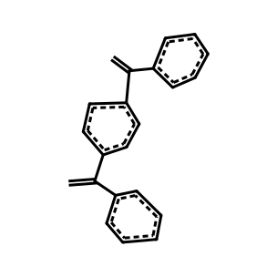 C=C(c1ccccc1)c1ccc(C(=C)c2ccccc2)cc1